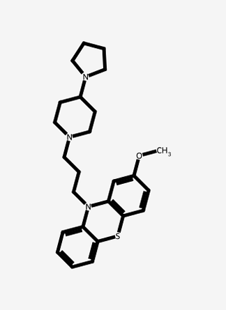 COc1ccc2c(c1)N(CCCN1CCC(N3CCCC3)CC1)c1ccccc1S2